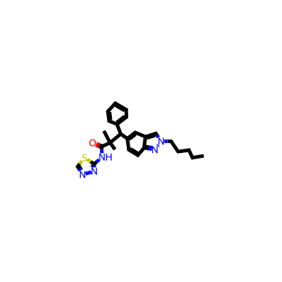 CCCCCn1cc2cc(C(c3ccccc3)C(C)(C)C(=O)Nc3nncs3)ccc2n1